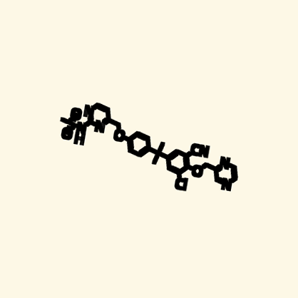 CC(C)(c1ccc(OCc2ccnc(NS(C)(=O)=O)n2)cc1)c1cc(Cl)c(OCc2cnccn2)c(C#N)c1